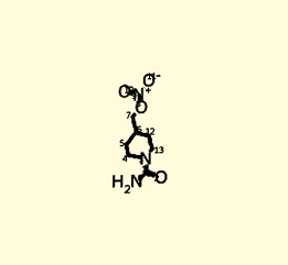 NC(=O)N1CCC(CO[N+](=O)[O-])CC1